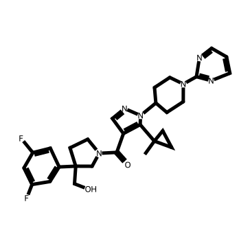 CC1(c2c(C(=O)N3CCC(CO)(c4cc(F)cc(F)c4)C3)cnn2C2CCN(c3ncccn3)CC2)CC1